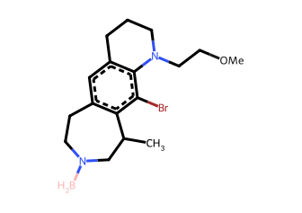 BN1CCc2cc3c(c(Br)c2C(C)C1)N(CCOC)CCC3